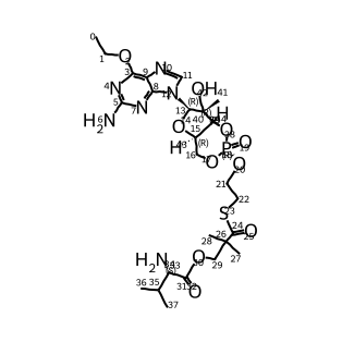 CCOc1nc(N)nc2c1ncn2[C@@H]1O[C@@H]2CO[P@](=O)(OCCSC(=O)C(C)(C)COC(=O)[C@@H](N)C(C)C)O[C@H]2[C@@]1(C)O